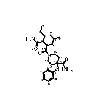 CCCC(C(N)=O)C(CC(C)C)C(=O)N1CCC(Nc2ccccc2)(C(N)=O)CC1